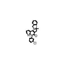 CC1(I)Cc2c(c3cccnc3n(-c3cccc(Cl)c3)c2=O)N1Cc1ccccc1